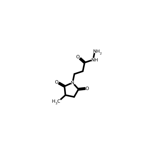 CC1CC(=O)N(CCC(=O)NN)C1=O